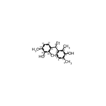 CCC(c1ccc(C)c(O)c1C)c1ccc(C)c(O)c1C